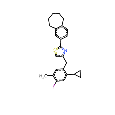 Cc1cc(Cc2csc(-c3ccc4c(c3)CCCCC4)n2)c(C2CC2)cc1I